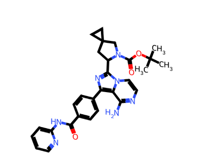 CC(C)(C)OC(=O)N1CC2(CC2)CC1c1nc(-c2ccc(C(=O)Nc3ccccn3)cc2)c2c(N)nccn12